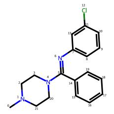 CN1CCN(C(=Nc2cccc(Cl)c2)c2ccccc2)CC1